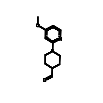 COc1ccnc(N2CCC(C=O)CC2)c1